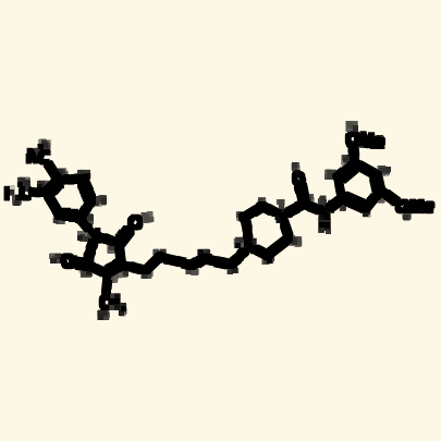 COc1cc(NC(=O)N2CCN(CCCCCC3=C(C)C(=O)N(c4ccc(C#N)c(C(F)(F)F)c4)C3=O)CC2)cc(OC)c1